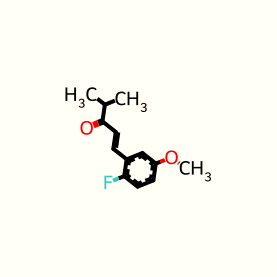 COc1ccc(F)c(C=CC(=O)C(C)C)c1